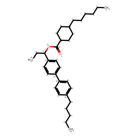 CCCCCCC1CCC(C(=O)OC(CC)c2ccc(-c3ccc(CCCCC)cc3)cc2)CC1